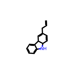 C=CCC1=CC2c3ccccc3NC2C=C1